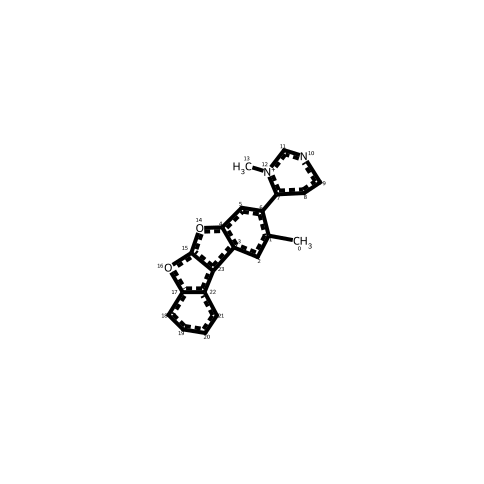 Cc1cc2c(cc1-c1ccnc[n+]1C)oc1oc3ccccc3c12